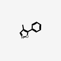 Cc1cnoc1-c1ccccc1